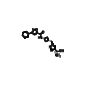 C[C@@H](O)c1cn(C[C@H]2C[C@@H](NC(=O)c3cc(-c4ccccc4)no3)C2)nn1